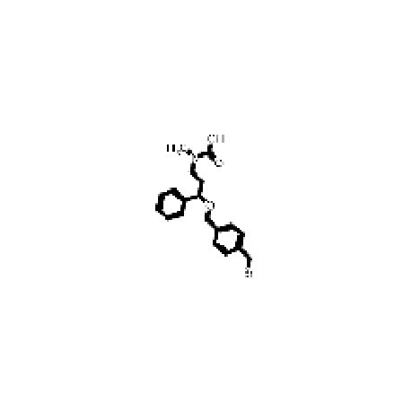 CN(CCC(OCc1ccc(CBr)cc1)c1ccccc1)C(=O)O